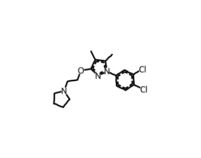 Cc1c(OCCN2CCCC2)nn(-c2ccc(Cl)c(Cl)c2)c1C